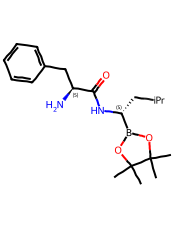 CC(C)C[C@@H](NC(=O)[C@@H](N)Cc1ccccc1)B1OC(C)(C)C(C)(C)O1